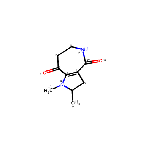 CC1CC2=C(C(=O)CCNC2=O)N1C